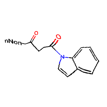 CCCCCCCCCC(=O)CC(=O)n1ccc2ccccc21